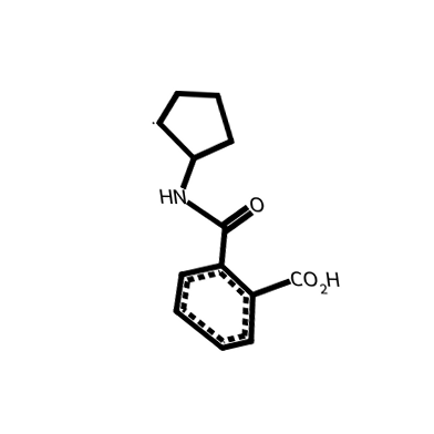 O=C(O)c1ccccc1C(=O)NC1[CH]CCC1